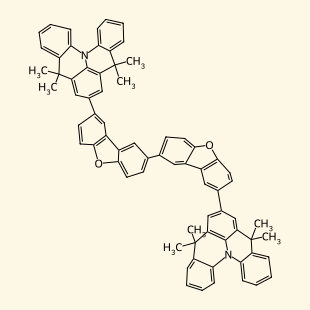 CC1(C)c2ccccc2N2c3ccccc3C(C)(C)c3cc(-c4ccc5oc6ccc(-c7ccc8oc9ccc(-c%10cc%11c%12c(c%10)C(C)(C)c%10ccccc%10N%12c%10ccccc%10C%11(C)C)cc9c8c7)cc6c5c4)cc1c32